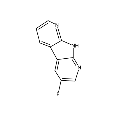 Fc1cnc2[nH]c3ncccc3c2c1